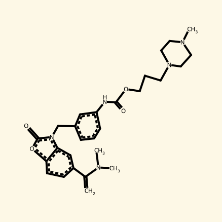 C=C(c1ccc2oc(=O)n(Cc3cccc(NC(=O)OCCCN4CCN(C)CC4)c3)c2c1)N(C)C